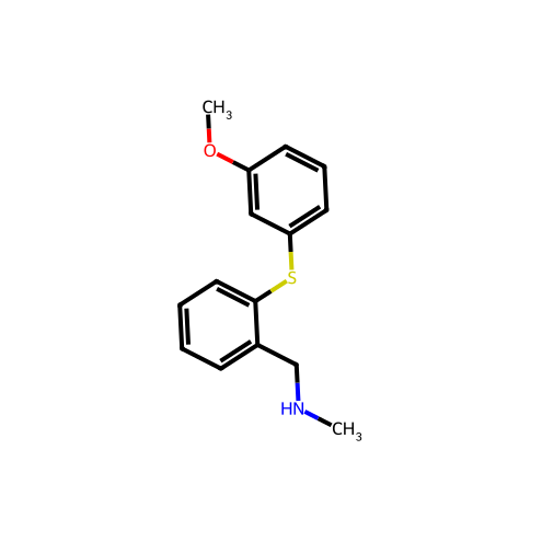 CNCc1ccccc1Sc1cccc(OC)c1